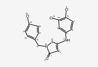 O=c1nc(Nc2ccc(Cl)c(Cl)c2)sn1Cc1ccc(Cl)cc1